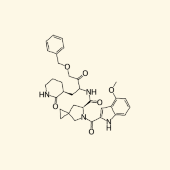 COc1cccc2[nH]c(C(=O)N3CC4(CC4)C[C@H]3C(=O)NC(C[C@@H]3CCCNC3=O)C(=O)COCc3ccccc3)cc12